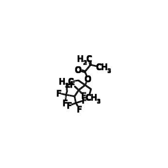 C=C(C)C(=O)OC(CC)(CC)C(F)(F)C(C(F)(F)F)C(F)(F)F